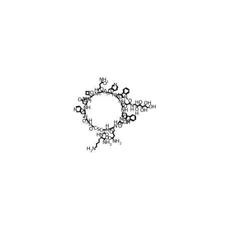 C[C@H]1NC(=O)CSC[C@@H](C(=O)N[C@H](CCCCN)C(N)=O)NC(=O)[C@H](CCCC(N)=O)NC(=O)[C@H]([C@@H](C)O)NC(=O)[C@H](Cc2cn(C)c3ccccc23)NC(=O)[C@H](CCC(=O)NC[C@H](O)[C@@H](O)[C@H](O)[C@H](O)CO)NC(=O)[C@H](Cc2cn(C)c3ccccc23)NC(=O)[C@H](Cc2cccnc2)N(C)C(=O)[C@H](CCCC(N)=O)NC(=O)[C@H](C2CCC2)NC(=O)[C@H](CC(N)=O)NC(=O)[C@H](Cc2cccnc2)N(C)C1=O